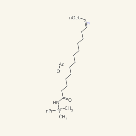 CC(=O)[O-].CCCCCCCC/C=C\CCCCCCCCCCCC(=O)N[N+](C)(C)CCC